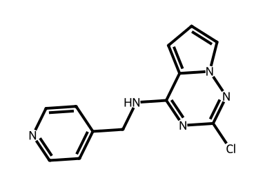 Clc1nc(NCc2ccncc2)c2cccn2n1